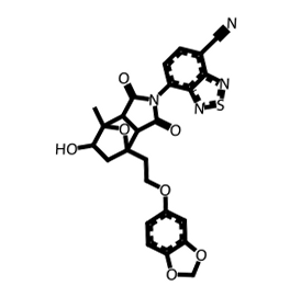 CC12OC(CCOc3ccc4c(c3)OCO4)(CC1O)C1C(=O)N(c3ccc(C#N)c4nsnc34)C(=O)C12